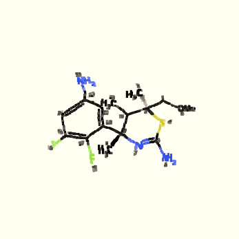 COC[C@@]1(C)SC(N)=N[C@](C)(c2cc(N)cc(F)c2F)C1C